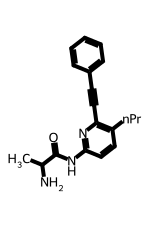 CCCc1ccc(NC(=O)C(C)N)nc1C#Cc1ccccc1